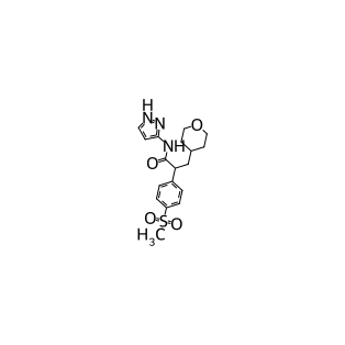 CS(=O)(=O)c1ccc(C(CC2CCOCC2)C(=O)Nc2cc[nH]n2)cc1